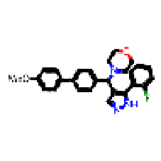 COc1ccc(-c2ccc(C(c3cn[nH]c3-c3ccccc3F)N3CCOCC3)cc2)cc1